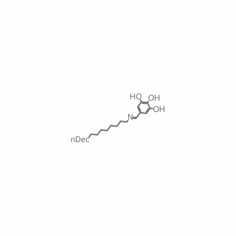 CCCCCCCCCCCCCCCCCCN=Cc1cc(O)c(O)c(O)c1